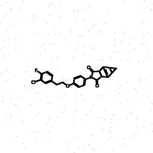 O=C1C2C3C=CC(C4CC34)C2C(=O)N1c1ccc(OCCc2ccc(F)c(Cl)c2)cc1